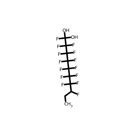 CCC(F)C(F)(F)C(F)(F)C(F)(F)C(F)(F)C(F)(F)C(F)(F)C(O)(O)F